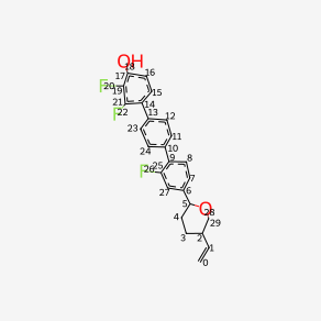 C=CC1CCC(c2ccc(-c3ccc(-c4ccc(O)c(F)c4F)cc3)c(F)c2)OC1